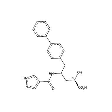 O=C(NC(Cc1ccc(-c2ccccc2)cc1)C[C@@H](O)C(=O)O)c1cn[nH]c1